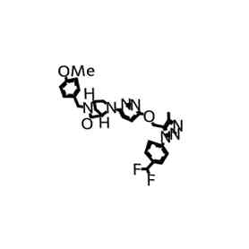 COc1ccc(CN2C(=O)[C@H]3C[C@@H]2CN3c2ccc(OCc3c(C)nnn3-c3ccc(C(F)F)cc3)nn2)cc1